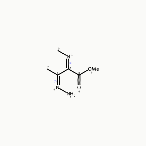 C/N=C(C(=O)OC)\C(C)=N/N